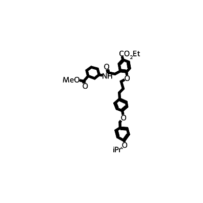 CCOC(=O)c1ccc(OCCCc2ccc(OCc3ccc(OC(C)C)cc3)cc2)c(CC(=O)NC2CCCC(C(=O)OC)C2)c1